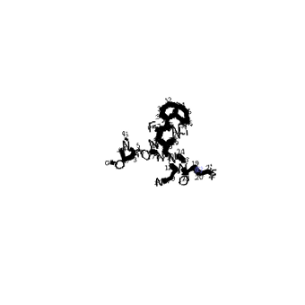 CO[C@@H]1C[C@@H](COc2nc(N3C=C(CC#N)N(C(=O)/C=C/CF)CC3)c3cnc(-c4cccc5cccc(Cl)c45)c(F)c3n2)N(C)C1